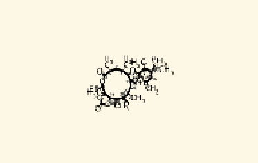 CC[C@H]1OC(=O)[C@H](C)C[C@H](C)[C@@H](O[C@@H]2O[C@H](C)C[C@H](N(C)C)[C@H]2C)[C@](C)(OC)C[C@@H](C)C(=O)[C@H](C)[C@H]2OC(=O)O[C@@]21C